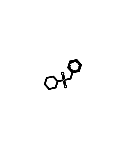 O=S(=O)(Cc1ccccc1)C1CCCCC1